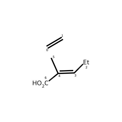 C=C.CCC=C(C)C(=O)O